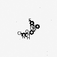 Cc1cc(F)ccc1-n1c(=O)n(CC2CCC(NC(=O)c3cc(Cl)cnc3C)CC2)c2ccccc21